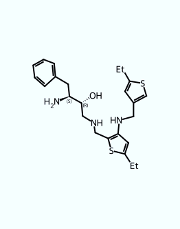 CCc1cc(CNc2cc(CC)sc2CNC[C@@H](O)[C@@H](N)Cc2ccccc2)cs1